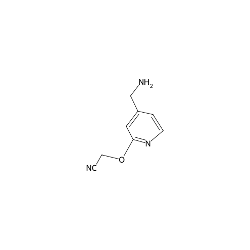 N#CCOc1cc(CN)ccn1